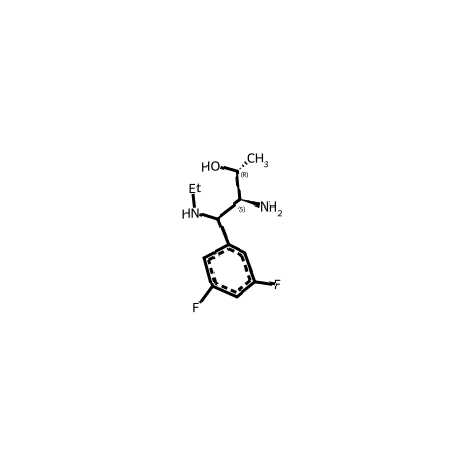 CCNC(c1cc(F)cc(F)c1)[C@H](N)[C@@H](C)O